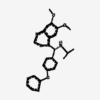 COc1cc2ncnc([C@H](NC(C)C)c3ccc(Oc4ccccc4)cc3)c2cc1OC